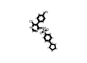 CC(C)c1ccc(-c2c(Cl)ncnc2NS(=O)(=O)c2ccc(C3CCCC3)cc2)cc1